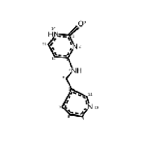 O=c1nc(NCc2cccnc2)cc[nH]1